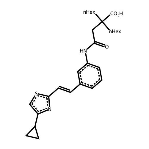 CCCCCCC(CCCCCC)(CC(=O)Nc1cccc(C=Cc2nc(C3CC3)cs2)c1)C(=O)O